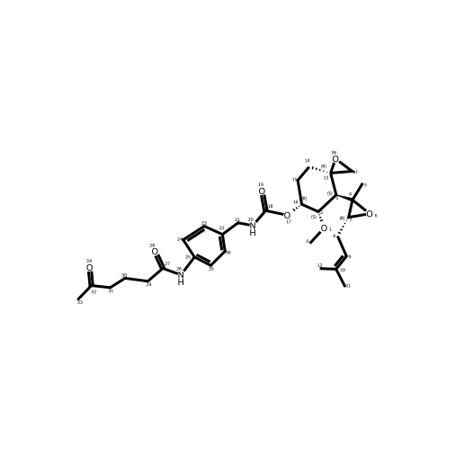 CO[C@H]1[C@H](C2(C)O[C@@H]2CC=C(C)C)[C@]2(CC[C@H]1OC(=O)NCc1ccc(NC(=O)CCCC(C)=O)cc1)CO2